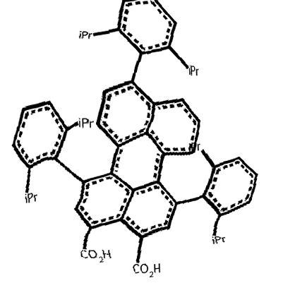 CC(C)c1cccc(C(C)C)c1-c1ccc2c3c(-c4c(C(C)C)cccc4C(C)C)cc(C(=O)O)c4c(C(=O)O)cc(-c5c(C(C)C)cccc5C(C)C)c(c5cccc1c52)c43